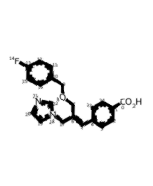 O=C(O)c1ccc(/C=C(\COCc2ccc(F)cc2)Cn2ccnc2)cc1